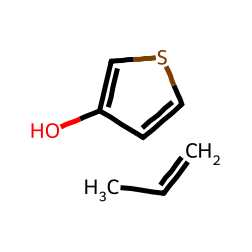 C=CC.Oc1ccsc1